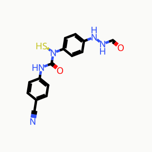 N#Cc1ccc(NC(=O)N(S)c2ccc(NNC=O)cc2)cc1